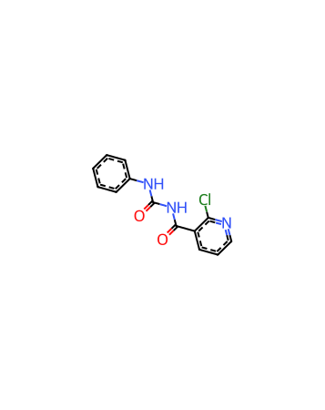 O=C(NC(=O)c1cccnc1Cl)Nc1ccccc1